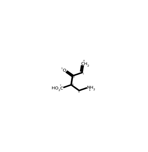 C=CC(=O)C(CN)C(=O)O